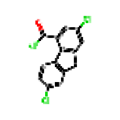 O=C(Cl)c1cc(Cl)cc2c1-c1ccc(Cl)cc1C2